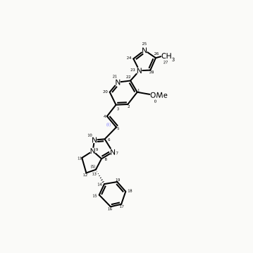 COc1cc(/C=C/c2nc3n(n2)CC[C@H]3c2ccccc2)cnc1-n1cnc(C)c1